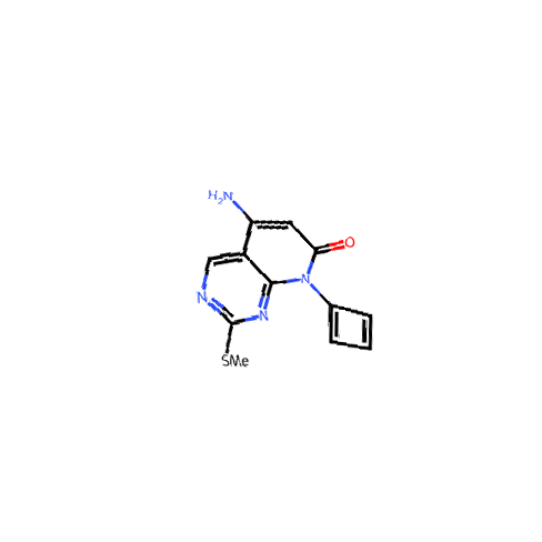 CSc1ncc2c(N)cc(=O)n(C3=CC=C3)c2n1